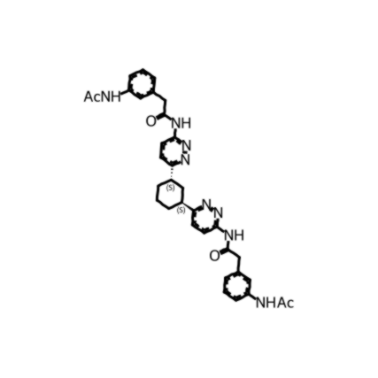 CC(=O)Nc1cccc(CC(=O)Nc2ccc([C@H]3CCC[C@H](c4ccc(NC(=O)Cc5cccc(NC(C)=O)c5)nn4)C3)nn2)c1